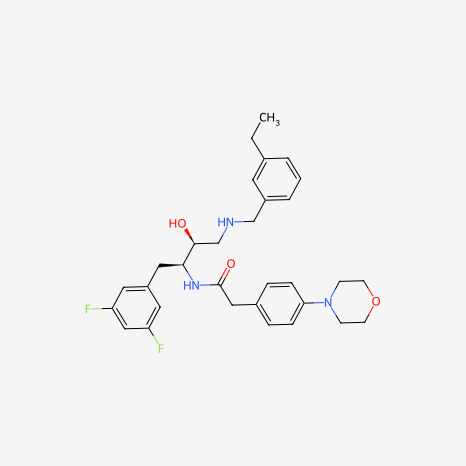 CCc1cccc(CNC[C@H](O)[C@H](Cc2cc(F)cc(F)c2)NC(=O)Cc2ccc(N3CCOCC3)cc2)c1